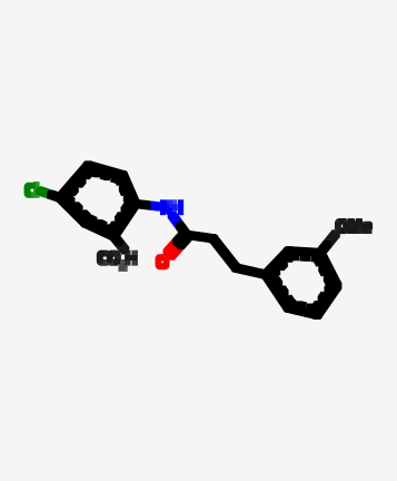 COc1cccc(CCC(=O)Nc2ccc(Cl)cc2C(=O)O)c1